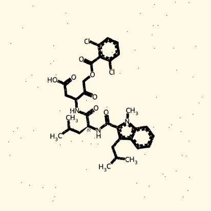 CC(C)Cc1c(C(=O)N[C@@H](CC(C)C)C(=O)NC(CC(=O)O)C(=O)COC(=O)c2c(Cl)cccc2Cl)n(C)c2ccccc12